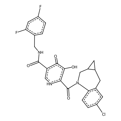 O=C(NCc1ccc(F)cc1F)c1c[nH]c(C(=O)N2CC3CC3Cc3cc(Cl)ccc32)c(O)c1=O